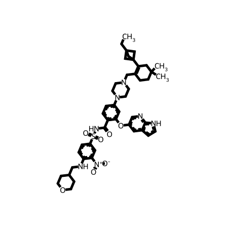 CCC12CC(C3=C(CN4CCN(c5ccc(C(=O)NS(=O)(=O)c6ccc(NCC7CCOCC7)c([N+](=O)[O-])c6)c(Oc6cnc7[nH]ccc7c6)c5)CC4)CCC(C)(C)C3)(C1)C2